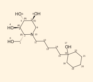 OC[C@@H]1[C@@H](O)[C@H](O)[C@@H](O)CN1CCCCCC1(O)CCCCC1